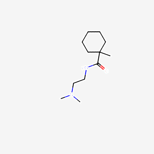 CN(C)CCNC(=O)C1(C)CCCCC1